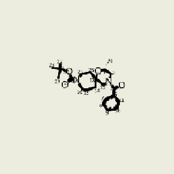 C[C@@H]1CN(C(=O)c2ccccc2)CC2(CCCN(C(=O)OC(C)(C)C)CC2)O1